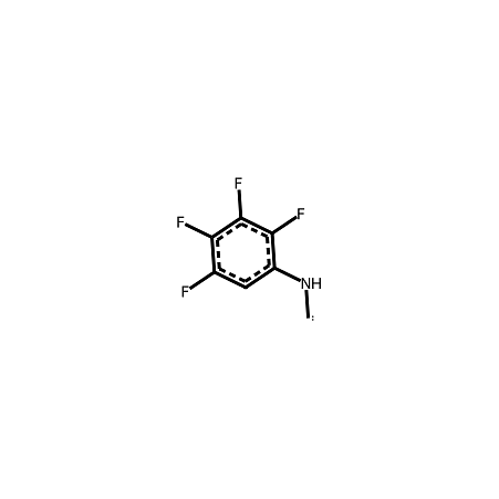 [CH]Nc1cc(F)c(F)c(F)c1F